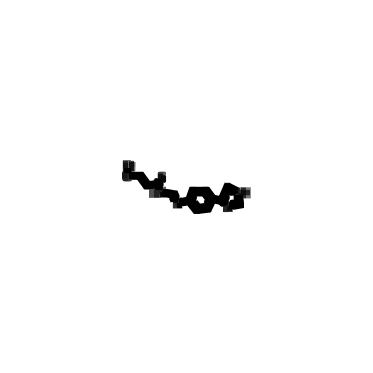 CCOCCC(=S)NC=Nc1ccc(-c2c[nH]cn2)cc1